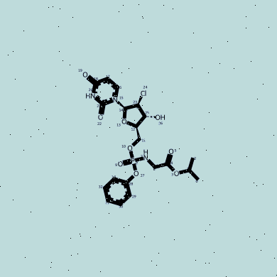 CC(C)OC(=O)CNP(=O)(OC[C@H]1O[C@@H](n2ccc(=O)[nH]c2=O)[C@@H](Cl)[C@@H]1O)Oc1ccccc1